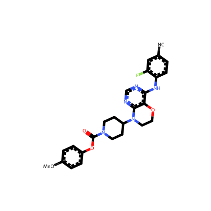 [C-]#[N+]c1ccc(Nc2ncnc3c2OCCN3C2CCN(C(=O)Oc3ccc(OC)cc3)CC2)c(F)c1